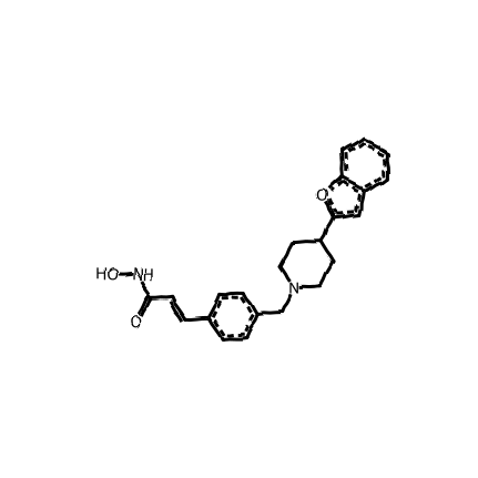 O=C(C=Cc1ccc(CN2CCC(c3cc4ccccc4o3)CC2)cc1)NO